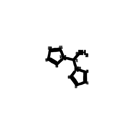 BC(n1cccc1)n1cccc1